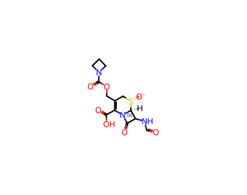 O=CNC1C(=O)N2C(C(=O)O)=C(COC(=O)N3CCC3)C[S+]([O-])[C@@H]12